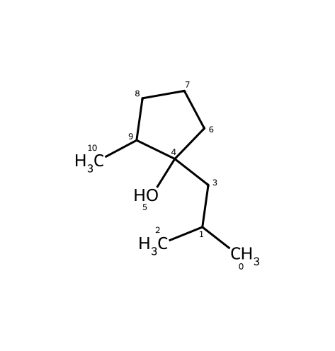 CC(C)CC1(O)CCCC1C